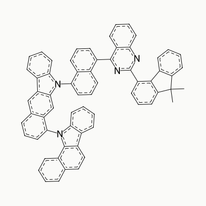 CC1(C)c2ccccc2-c2c(-c3nc(-c4cccc5c(-n6c7ccccc7c7cc8cccc(-n9c%10ccccc%10c%10ccc%11ccccc%11c%109)c8cc76)cccc45)c4ccccc4n3)cccc21